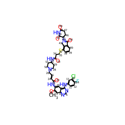 COc1cc2ncnc(Nc3ccc(F)c(Cl)c3)c2cc1NC(=O)/C=C/CN1CCC(NC(=O)CCSc2cccc3c2CN(C2CCC(=O)NC2=O)C3=O)CC1